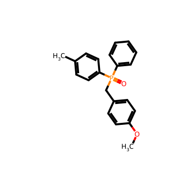 COc1ccc(CP(=O)(c2ccccc2)c2ccc(C)cc2)cc1